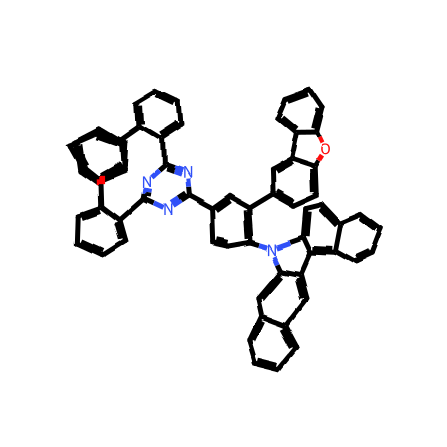 c1ccc(-c2ccccc2-c2nc(-c3ccc(-n4c5cc6ccccc6cc5c5c6ccccc6ccc54)c(-c4ccc5oc6ccccc6c5c4)c3)nc(-c3ccccc3-c3ccccc3)n2)cc1